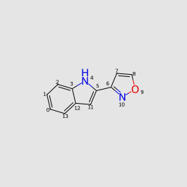 c1ccc2[nH]c(-c3ccon3)cc2c1